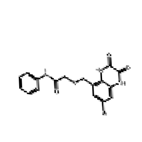 O=C(CSCc1cc(Br)cc2[nH]c(=O)c(=O)[nH]c12)Nc1ccccc1